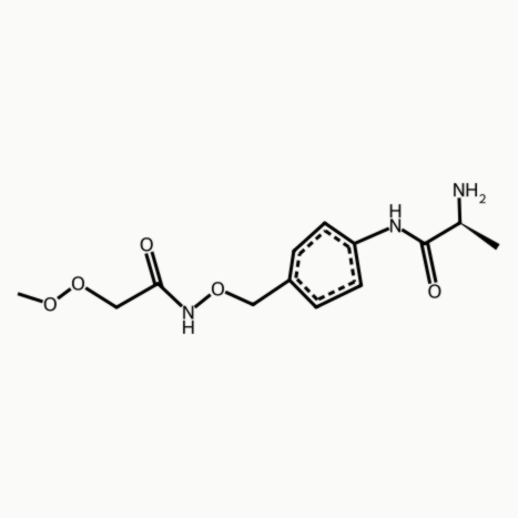 COOCC(=O)NOCc1ccc(NC(=O)[C@H](C)N)cc1